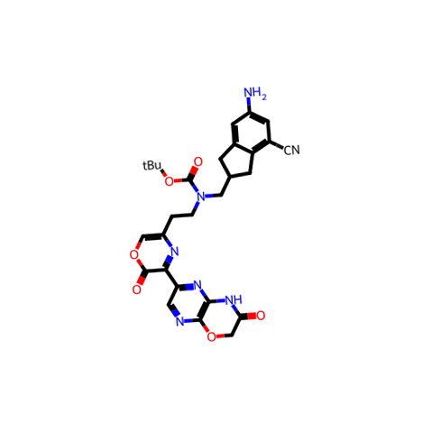 CC(C)(C)OC(=O)N(CCc1coc(=O)c(-c2cnc3c(n2)NC(=O)CO3)n1)CC1Cc2cc(N)cc(C#N)c2C1